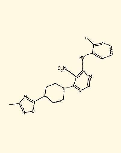 Cc1noc(C2CCN(c3ncnc(Nc4ccccc4F)c3[N+](=O)[O-])CC2)n1